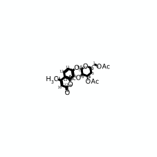 CC(=O)OC[C@@H]1C[C@H](OC(C)=O)[C@@H](OC(C)=O)[C@H](Oc2ccc3c(C)cc(=O)oc3c2)O1